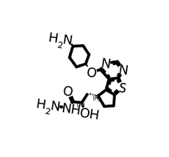 NNC(=O)[C@H](O)C[C@H]1CCc2sc3ncnc(O[C@H]4CC[C@H](N)CC4)c3c21